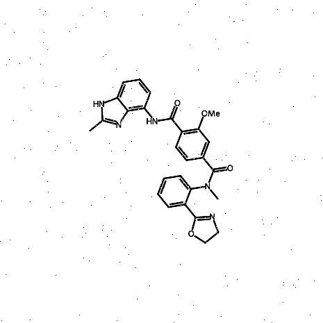 COc1cc(C(=O)N(C)c2ccccc2C2=NCCO2)ccc1C(=O)Nc1cccc2[nH]c(C)nc12